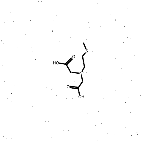 CSCCN(CC(=O)O)CC(=O)O